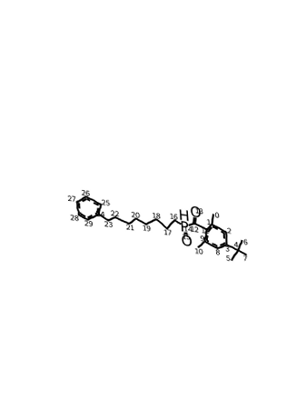 Cc1cc(C(C)(C)C)cc(C)c1C(=O)[PH](=O)CCCCCCCCc1ccccc1